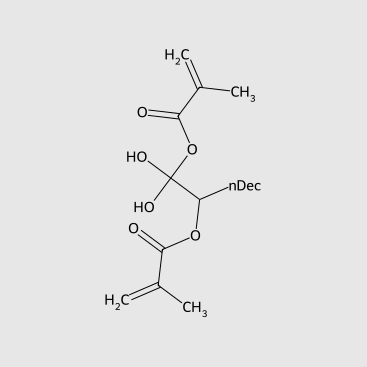 C=C(C)C(=O)OC(CCCCCCCCCC)C(O)(O)OC(=O)C(=C)C